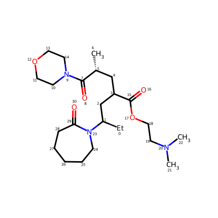 CCC(CC(C[C@@H](C)C(=O)N1CCOCC1)C(=O)OCCN(C)C)N1CCCCCC1=O